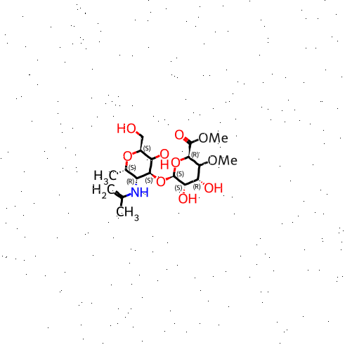 C=C(C)N[C@@H]1[C@H](C)O[C@@H](CO)C(O)[C@H]1O[C@H]1O[C@@H](C(=O)OC)C(OC)[C@H](O)[C@@H]1O